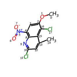 COc1cc([N+](=O)[O-])c2nc(Cl)cc(C)c2c1Cl